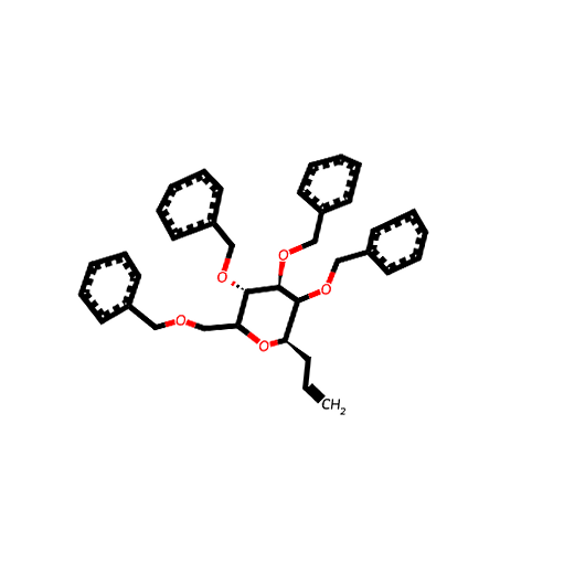 C=CC[C@H]1OC(COCc2ccccc2)[C@H](OCc2ccccc2)[C@@H](OCc2ccccc2)C1OCc1ccccc1